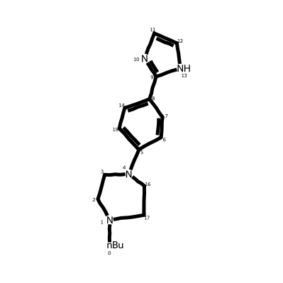 CCCCN1CCN(c2ccc(-c3ncc[nH]3)cc2)CC1